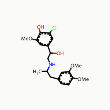 COc1ccc(CC(C)NCC(O)c2cc(Cl)c(O)c(OC)c2)cc1OC